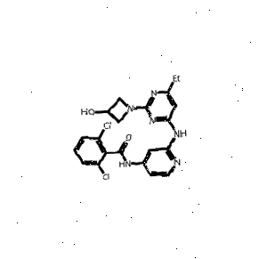 CCc1cc(Nc2cc(NC(=O)c3c(Cl)cccc3Cl)ccn2)nc(N2CC(O)C2)n1